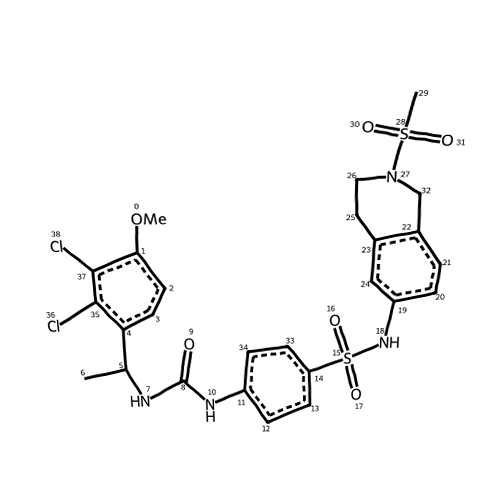 COc1ccc(C(C)NC(=O)Nc2ccc(S(=O)(=O)Nc3ccc4c(c3)CCN(S(C)(=O)=O)C4)cc2)c(Cl)c1Cl